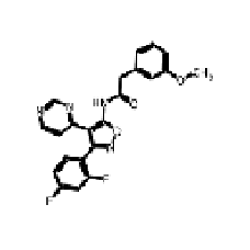 COc1cccc(CC(=O)Nc2onc(-c3ccc(F)cc3F)c2-c2ccncn2)c1